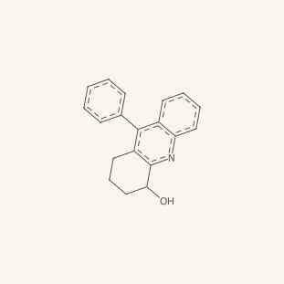 OC1CCCc2c1nc1ccccc1c2-c1ccccc1